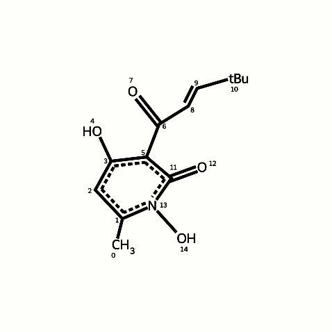 Cc1cc(O)c(C(=O)C=CC(C)(C)C)c(=O)n1O